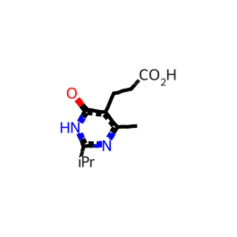 Cc1nc(C(C)C)[nH]c(=O)c1CCC(=O)O